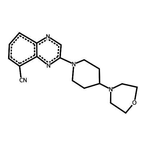 N#Cc1cccc2ncc(N3CCC(N4CCOCC4)CC3)nc12